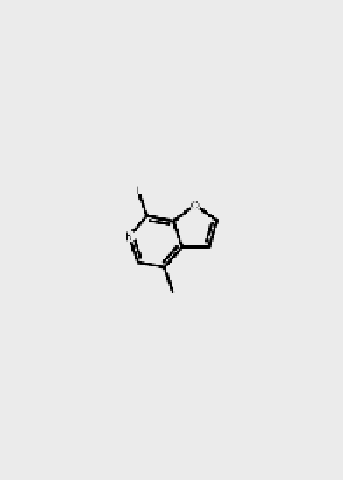 Cc1cnc(I)c2occc12